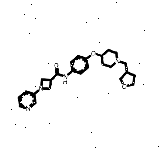 O=C(Nc1ccc(OC2CCN(CC3CCOC3)CC2)cc1)C1CN(c2cccnc2)C1